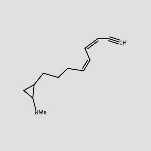 C#C/C=C\C=C/CCCC1CC1NC